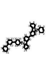 C1=CCCC(n2c3ccccc3c3cc(-c4ccc5c(c4)c4ccccc4n5C4=CC=C(c5cccc(-c6ccccc6)c5)CC4)ccc32)=C1